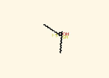 CCCCCCCCCCCCC(S)c1cc(C)c(O)c(C(S)CCCCCCCCCCCC)c1